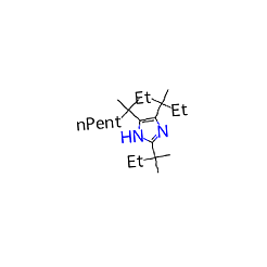 CCCCCC(C)(C)c1[nH]c(C(C)(C)CC)nc1C(C)(CC)CC